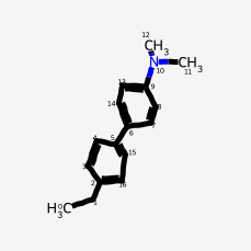 CCc1ccc(-c2ccc(N(C)C)cc2)cc1